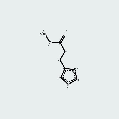 CCCCOC(=O)CCc1cncs1